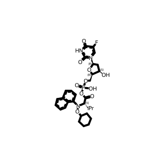 CC(C)[C@@H](C(=O)OP(=O)(O)OC[C@H]1O[C@@H](n2cc(F)c(=O)[nH]c2=O)C[C@@H]1O)N(OC1CCCCC1)c1cccc2ccccc12